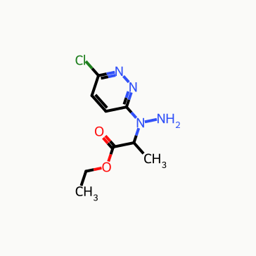 CCOC(=O)C(C)N(N)c1ccc(Cl)nn1